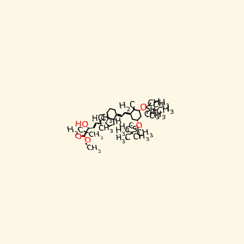 C=C1/C(=C/C=C2\CCC[C@]3(C)[C@@H](C(C)(C)/C=C/C(O)C(C)(C)C(=O)OCC)CC[C@@H]23)C[C@@H](O[Si](C)(C)C(C)(C)C)C[C@@H]1O[Si](C)(C)C(C)(C)C